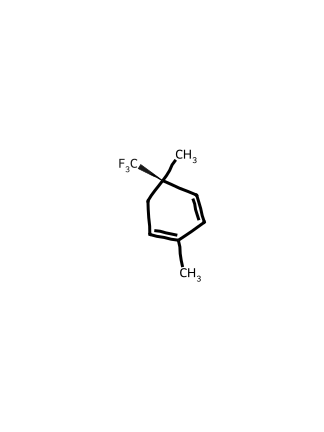 CC1=CC[C@@](C)(C(F)(F)F)C=C1